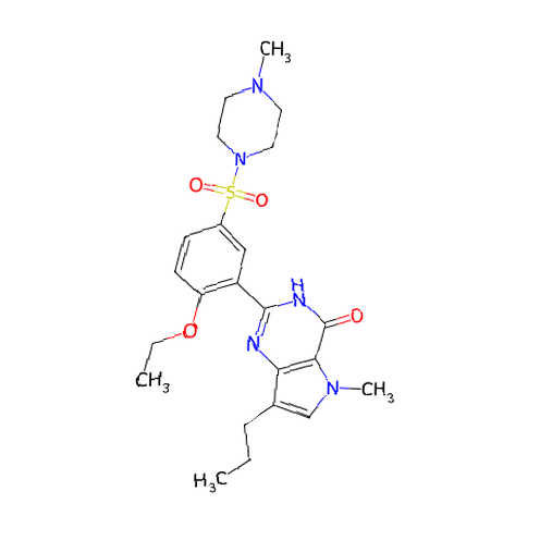 CCCc1cn(C)c2c(=O)[nH]c(-c3cc(S(=O)(=O)N4CCN(C)CC4)ccc3OCC)nc12